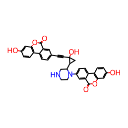 O=c1oc2cc(O)ccc2c2ccc(C#CC3(O)CC3C3CNCCN3c3ccc4c(c3)c(=O)oc3cc(O)ccc34)cc12